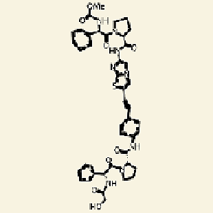 COC(=O)N[C@@H](C(=O)N1CCC[C@H]1C(=O)Nc1cn2cc(C#Cc3ccc(NC(=O)[C@@H]4CCCN4C(=O)[C@H](NC(=O)CO)c4ccccc4)cc3)sc2n1)c1ccccc1